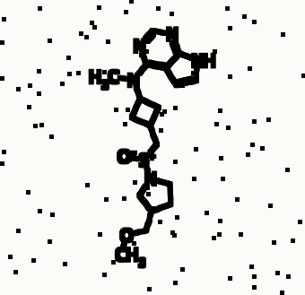 COCC1CCN([S+]([O-])CC2CC(N(C)c3ncnc4[nH]ccc34)C2)C1